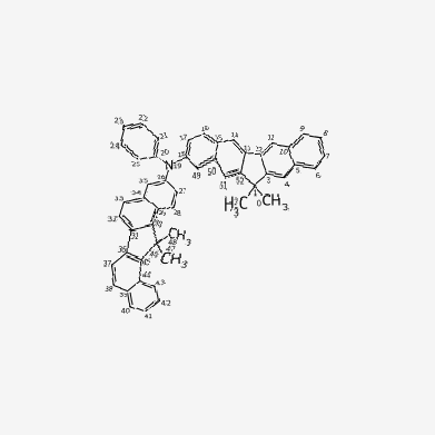 CC1(C)c2cc3ccccc3cc2-c2cc3ccc(N(c4ccccc4)c4ccc5c6c(ccc5c4)-c4ccc5ccccc5c4C6(C)C)cc3cc21